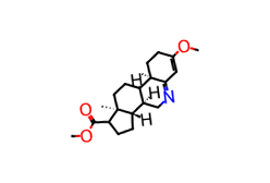 COC(=O)C1CC[C@H]2[C@@H]3CN=C4C=C(OC)CC[C@]4(C)[C@@H]3CC[C@]12C